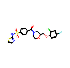 O=C(c1ccc(S(=O)(=O)Nc2nccs2)cc1)N1CCOC(COc2ccc(F)cc2Cl)C1